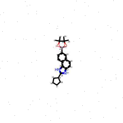 CC1(C)OB(c2ccc3c(ccc4nc(C5CCCC5)[nH]c43)c2)OC1(C)C